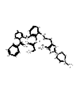 CCC(=O)Oc1c(Nc2ccccc2C(=O)c2ccccc2)cccc1OCCc1nc(N2CCN(C)CC2)sc1C